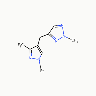 CCn1cc(Cc2cnn(C)n2)c(C(F)(F)F)n1